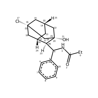 CCC(=O)NC(c1ccccc1)[C@H]1[C@H]2C[C@@H]3C[C@](Cl)(C2)C[C@@]1(O)C3